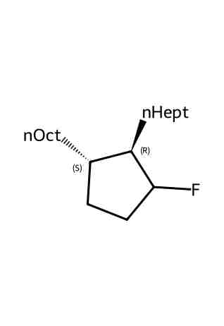 CCCCCCCC[C@H]1CCC(F)[C@@H]1CCCCCCC